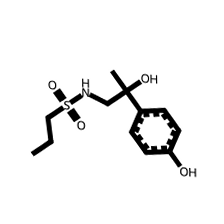 CCCS(=O)(=O)NCC(C)(O)c1ccc(O)cc1